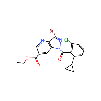 CCOC(=O)c1cnc2c(Br)nn(C(=O)c3c(Cl)cccc3C3CC3)c2c1